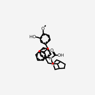 COc1ccc(Cc2ccccc2N(CC2C3CCC2CN(Cc2ccccc2)C3)C(=O)O)cc1O